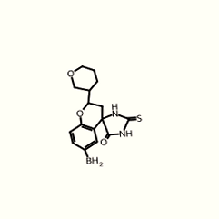 Bc1ccc2c(c1)C1(CC(C3CCCOC3)O2)NC(=S)NC1=O